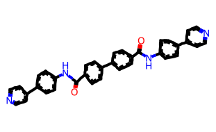 O=C(Nc1ccc(-c2ccncc2)cc1)c1ccc(-c2ccc(C(=O)Nc3ccc(-c4ccncc4)cc3)cc2)cc1